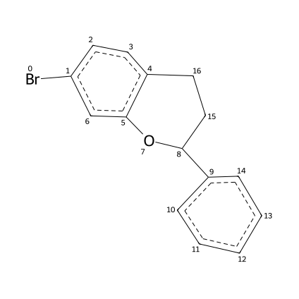 Brc1ccc2c(c1)OC(c1ccccc1)CC2